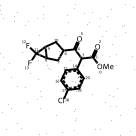 COC(=O)C(C(=O)C1CC2C(C1)C2(F)F)c1ccc(Cl)cc1